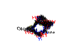 CO/C(C)=C1/NC(=O)[C@H]([C@@H](C)O)NC(=O)c2csc(n2)-c2cc(O)c(-c3nc(C=O)cs3)nc2-c2csc(n2)[C@@H]2COC(=O)c3c4c5c(cccc5n3O)COC(=O)[C@@H](O[C@H]3C[C@](C)(O)[C@H](N(C)C)[C@H](C)O3)[C@@H](OC4)[C@H](NC(=O)c3csc1n3)c1nc(cs1)C(=O)N2